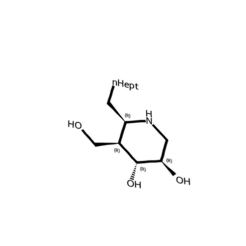 CCCCCCCC[C@H]1NC[C@@H](O)[C@H](O)[C@H]1CO